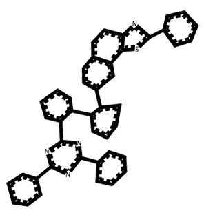 c1ccc(-c2nc(-c3ccccc3)nc(-c3ccccc3-c3ccccc3-c3ccc4ccc5nc(-c6ccccc6)sc5c4c3)n2)cc1